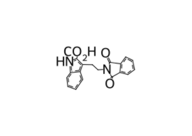 O=C(O)c1[nH]c2ccccc2c1CCN1C(=O)c2ccccc2C1=O